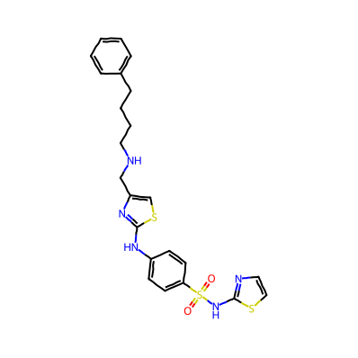 O=S(=O)(Nc1nccs1)c1ccc(Nc2nc(CNCCCCc3ccccc3)cs2)cc1